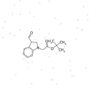 CC(C)(C)OC(=O)CN1CC(C=O)c2ccccc21